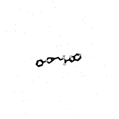 O=C(NCCC1C2CN(c3ccccc3)CC12)c1cc2ccncc2o1